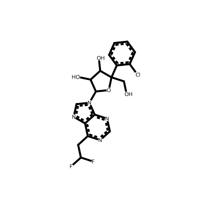 OCC1(c2ccccc2Cl)OC(n2cnc3c(CC(F)F)ncnc32)C(O)C1O